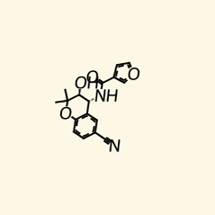 CC1(C)Oc2ccc(C#N)cc2[C@@H](NC(=O)c2ccoc2)[C@@H]1O